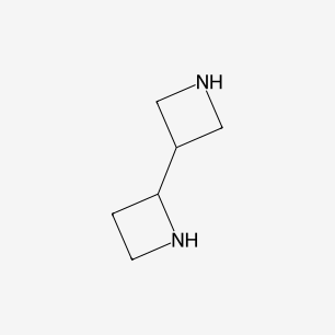 C1CC(C2CNC2)N1